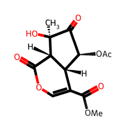 COC(=O)C1=COC(=O)[C@H]2[C@@H]1[C@H](OC(C)=O)C(=O)[C@]2(C)O